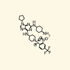 NC1CCC(Nc2nc(NC3CCN(S(=O)(=O)c4ccc(C(F)(F)F)cc4[N+](=O)[O-])CC3)c3ncn(C4CCCC4)c3n2)CC1